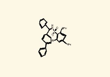 CC(C)c1cc(C(C)C)c(S(=O)(=O)NC(c2ccccc2)c2ccc(-c3ccccc3)cc2)c(C(C)C)c1